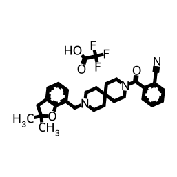 CC1(C)Cc2cccc(CN3CCC4(CC3)CCN(C(=O)c3ccccc3C#N)CC4)c2O1.O=C(O)C(F)(F)F